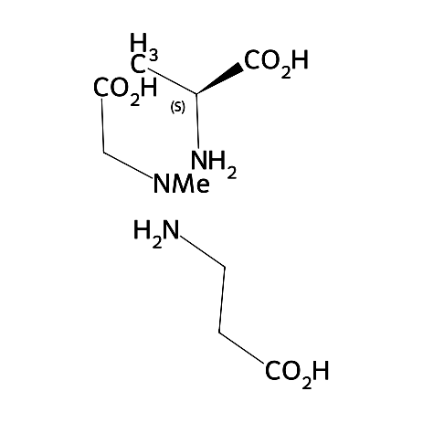 CNCC(=O)O.C[C@H](N)C(=O)O.NCCC(=O)O